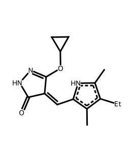 CCc1c(C)[nH]c(C=C2C(=O)NN=C2OC2CC2)c1C